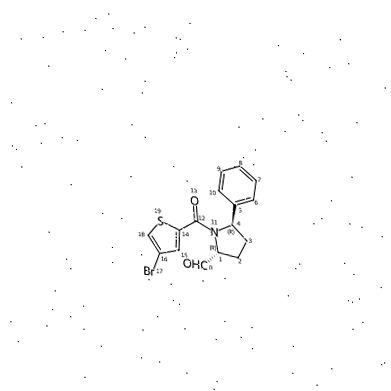 O=C[C@H]1CC[C@H](c2ccccc2)N1C(=O)c1cc(Br)cs1